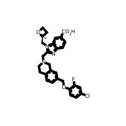 O=C(O)c1ccc2nc(CN3CCc4ccc(COc5ccc(Cl)cc5F)cc4C3)n(C[C@@H]3CCO3)c2c1